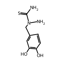 NC(=S)N(N)Cc1ccc(O)c(O)c1